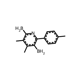 Bc1nc(-c2ccc(C)cc2)c(B)c(C)c1C